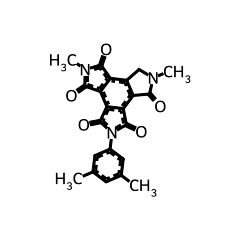 Cc1cc(C)cc(-n2c(=O)c3c4c(c5c(=O)n(C)c(=O)c5c3c2=O)CN(C)C4=O)c1